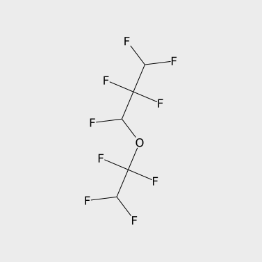 FC(F)C(F)(F)OC(F)C(F)(F)C(F)F